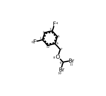 Fc1cc(F)cc(COC(Br)Br)c1